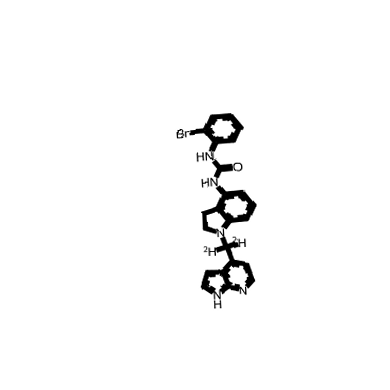 [2H]C([2H])(c1ccnc2[nH]ccc12)N1CCc2c(NC(=O)Nc3ccccc3Br)cccc21